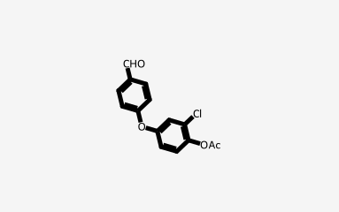 CC(=O)Oc1ccc(Oc2ccc(C=O)cc2)cc1Cl